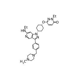 CCNc1cc2c(cn1)c(-c1ccc(CN3CCN(C)CC3)cc1)nn2[C@H]1CC[C@@H](Oc2ccc(=O)n(CC)n2)CC1